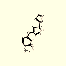 Nc1ccc(Oc2ccnc(-c3ncco3)c2)cc1F